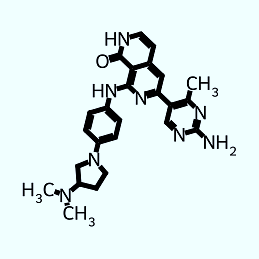 Cc1nc(N)ncc1-c1cc2cc[nH]c(=O)c2c(Nc2ccc(N3CCC(N(C)C)C3)cc2)n1